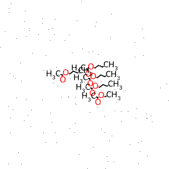 CCCCOC(C)=O.CCCCOC(C)=O.CCCCOC(C)=O.CCCCOC(C)=O.CCOC(C)=O